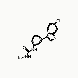 CCNC(=O)Nc1cccc(-c2cnc3cc(Cl)ccn23)c1